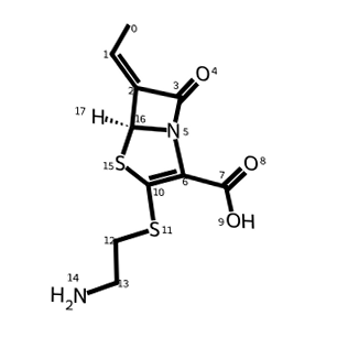 CC=C1C(=O)N2C(C(=O)O)=C(SCCN)S[C@@H]12